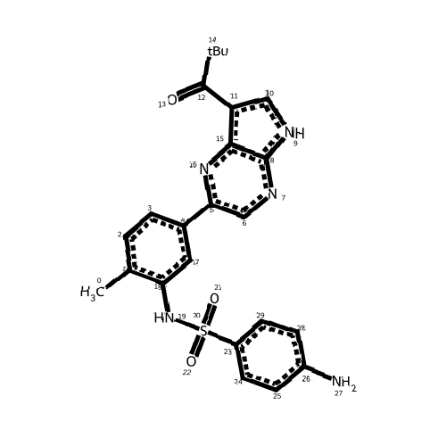 Cc1ccc(-c2cnc3[nH]cc(C(=O)C(C)(C)C)c3n2)cc1NS(=O)(=O)c1ccc(N)cc1